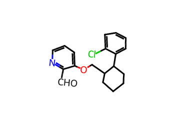 O=Cc1ncccc1OCC1CCCCC1c1ccccc1Cl